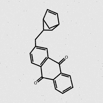 O=C1c2ccccc2C(=O)c2cc(CC3CC4C=CC3C4)ccc21